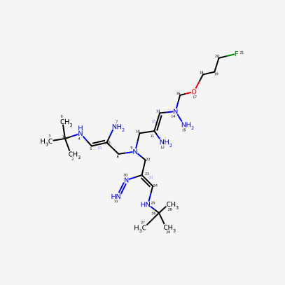 CC(C)(C)N/C=C(\N)CN(C/C(N)=C/N(N)COCCCF)C/C(=C/NC(C)(C)C)N=N